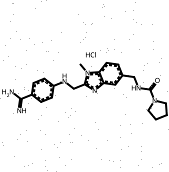 Cl.Cn1c(CNc2ccc(C(=N)N)cc2)nc2cc(CNC(=O)N3CCCC3)ccc21